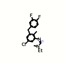 CCN(C)/C=N\c1cc(Cl)cc(Cc2ccc(F)c(F)c2)c1C